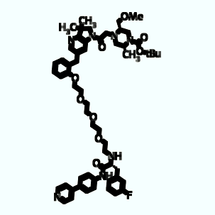 COC[C@H]1CN(C(=O)OC(C)(C)C)[C@H](C)CN1CC(=O)N1CC(C)(C)c2ncc(Cc3ccccc3OCCOCCOCCOCCN[C@H](Cc3cccc(F)c3)C(=O)Nc3ccc(-c4ccncc4)cc3)cc21